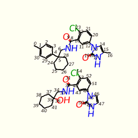 Cc1ccc(C2(CNC(=O)c3cc(-n4cc(C)[nH]c4=O)ccc3Cl)CCCCC2)cc1.O=C(NCC1(O)CCCCC1)c1cc(-n2cc[nH]c2=O)ccc1Cl